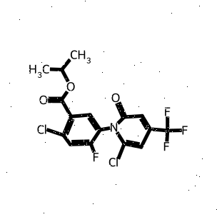 CC(C)OC(=O)c1cc(-n2c(Cl)cc(C(F)(F)F)cc2=O)c(F)cc1Cl